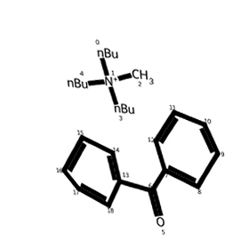 CCCC[N+](C)(CCCC)CCCC.O=C(c1ccccc1)c1ccccc1